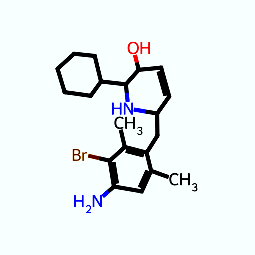 Cc1cc(N)c(Br)c(C)c1CC1C=CC(O)C(C2CCCCC2)N1